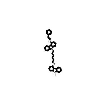 C(=Cc1ccccc1)Oc1cccc2c1c1ccccc1n2CCCCCCOc1cccc2[nH]c3ccccc3c12